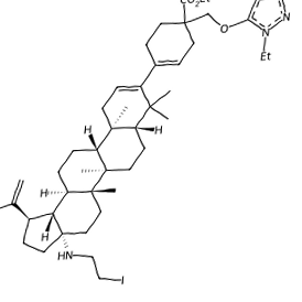 C=C(C)[C@@H]1CC[C@]2(NCCI)CC[C@]3(C)[C@H](CC[C@@H]4[C@@]5(C)CC=C(C6=CCC(COc7cnnn7CC)(C(=O)OCC)CC6)C(C)(C)[C@@H]5CC[C@]43C)[C@@H]12